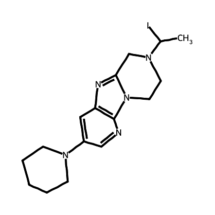 CC(I)N1CCn2c(nc3cc(N4CCCCC4)cnc32)C1